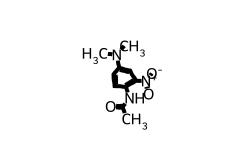 CC(=O)Nc1ccc(N(C)C)cc1[N+](=O)[O-]